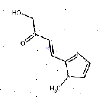 Cn1ccnc1/C=C/C(=O)CO